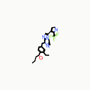 CCCC(=O)c1ccc(Cc2nccn3c(C4=CCN=C4C(F)(F)F)cnc23)cc1CC